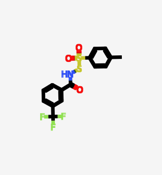 Cc1ccc(S(=O)(=O)SNC(=O)c2cccc(C(F)(F)F)c2)cc1